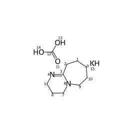 C1CCC2=NCCCN2CC1.O=C(O)O.[KH]